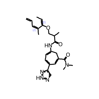 C=C/C=C(C)\C(=C/C)OCC(C)C(=O)NC1=CC=C(c2cn[nH]n2)C=C(C(=O)N(C)C)C1